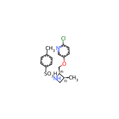 C[C@H]1CN[C@H]1COc1ccc(Cl)nc1.Cc1ccc(S(=O)(=O)O)cc1